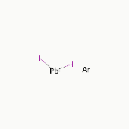 [Ar].[I][Pb][I]